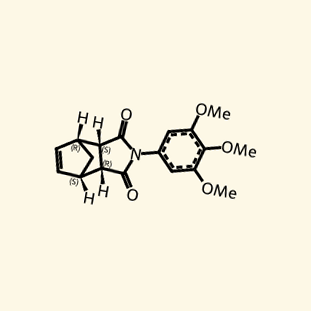 COc1cc(N2C(=O)[C@@H]3[C@H](C2=O)[C@@H]2C=C[C@H]3C2)cc(OC)c1OC